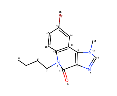 CCCCn1c(=O)c2ncn(C)c2c2cc(Br)ccc21